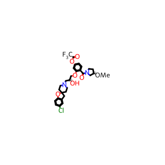 CO[C@H]1CCN(C(=O)c2ccc(OC(=O)C(F)(F)F)cc2OC[C@@H](O)CN2CCC3(CC2)Cc2cc(Cl)ccc2O3)C1